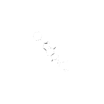 COC[C@@H](N1Cc2c([nH]c3cc(C4CCCCC4)nn3c2=O)C1=O)C(F)(F)F